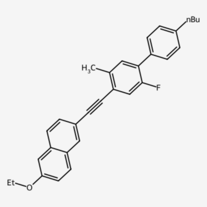 CCCCc1ccc(-c2cc(C)c(C#Cc3ccc4cc(OCC)ccc4c3)cc2F)cc1